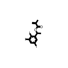 C=C(C)C(=O)OC(C)c1cc(I)cc(I)c1I